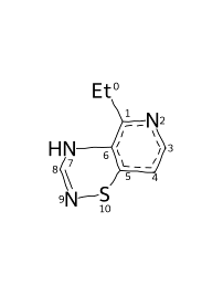 CCc1nccc2c1NC=NS2